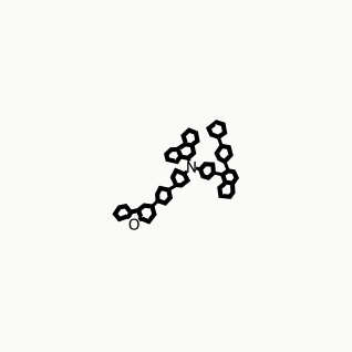 c1ccc(-c2ccc(-c3ccc4ccccc4c3-c3ccc(N(c4ccc(-c5ccc(-c6ccc7oc8ccccc8c7c6)cc5)cc4)c4cc5ccccc5c5ccccc45)cc3)cc2)cc1